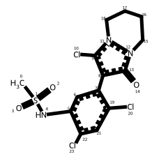 CS(=O)(=O)Nc1cc(-c2c(Cl)n3n(c2=O)CCCC3)c(Cl)cc1Cl